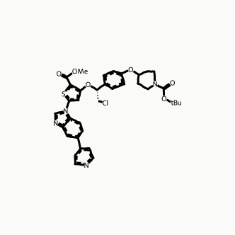 COC(=O)c1sc(-n2cnc3cc(-c4ccncc4)ccc32)cc1O[C@@H](CCl)c1ccc(OC2CCN(C(=O)OC(C)(C)C)CC2)cc1